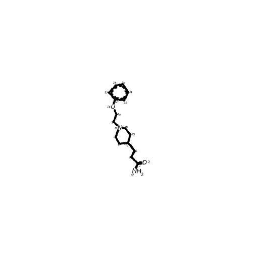 NC(=O)CCC1CCN(CCOc2ccccc2)CC1